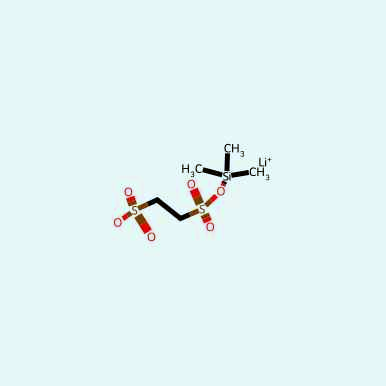 C[Si](C)(C)OS(=O)(=O)CCS(=O)(=O)[O-].[Li+]